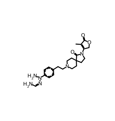 CC1=C(N2CCC3(CCN(CCc4ccc(N(N)/N=C\N)cc4)CC3)C2=O)COC1=O